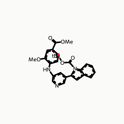 COC(=O)c1ccc(Nc2cncc(-c3cc4ccccc4n3C(=O)OC(C)(C)C)c2)c(OC)c1